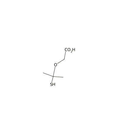 CC(C)(S)OCC(=O)O